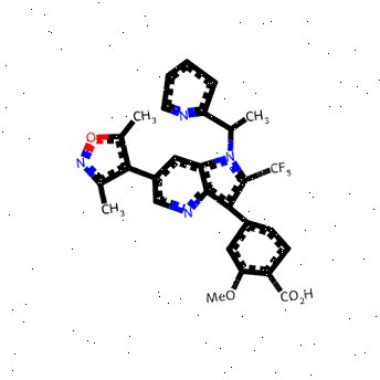 COc1cc(-c2c(C(F)(F)F)n(C(C)c3ccccn3)c3cc(-c4c(C)noc4C)cnc23)ccc1C(=O)O